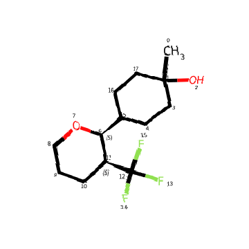 CC1(O)CCC([C@@H]2OCC[CH][C@@H]2C(F)(F)F)CC1